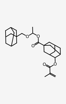 C=C(C)C(=O)OC1C2CC3CC1CC(C(=O)OC(C)OCC14CC5CC(CC(C5)C1)C4)(C3)C2